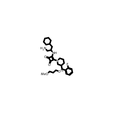 COCCCO[C@@H](c1ccccc1F)C1CCCN(c2c(NC(CN)CC3CCCCC3)c(=O)c2=O)C1